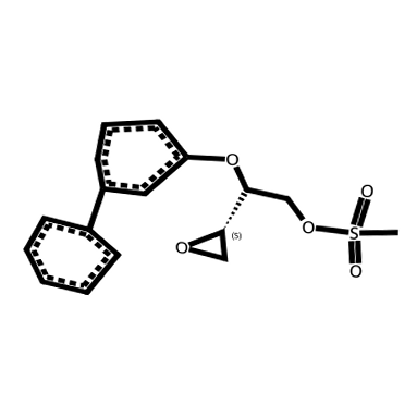 CS(=O)(=O)OCC(Oc1cccc(-c2ccccc2)c1)[C@@H]1CO1